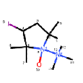 CC1(C)CC(I)C(C)(C)[N+]1([O])[N+](C)(C)C